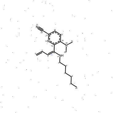 C=C/C=C(/NCCCCCC)c1nc(C#N)ccc1N(C)C